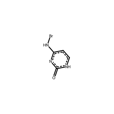 O=c1nc(NBr)cc[nH]1